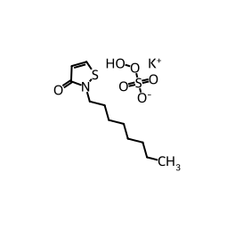 CCCCCCCCn1sccc1=O.O=S(=O)([O-])OO.[K+]